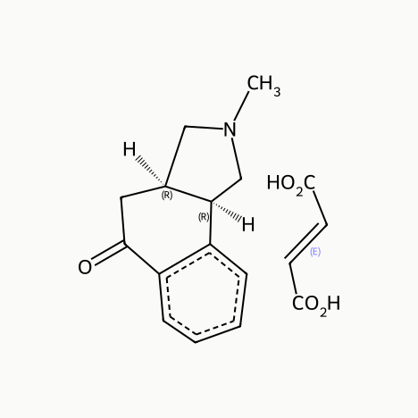 CN1C[C@@H]2CC(=O)c3ccccc3[C@@H]2C1.O=C(O)/C=C/C(=O)O